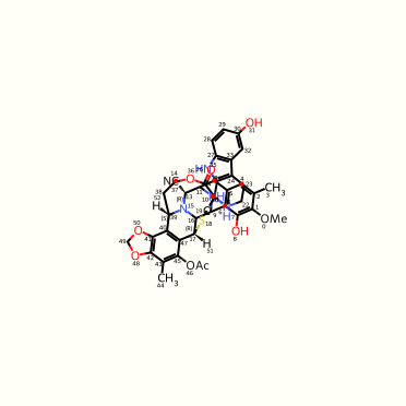 COc1c(C)cc2c(c1O)C1NC(C2)[C@H](C#N)N2C1[C@@H]1SC[C@]3(NCCc4c3[nH]c3ccc(O)cc43)C(=O)OCC[C@H]2c2c3c(c(C)c(OC(C)=O)c21)OCO3